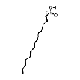 CCCCCCCCCCCCC[CH2][Ge](=[O])[OH]